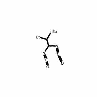 CCCCC(CC)C(N=C=O)N=C=O